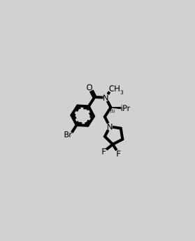 CC(C)[C@@H](CN1CCC(F)(F)C1)N(C)C(=O)c1ccc(Br)cc1